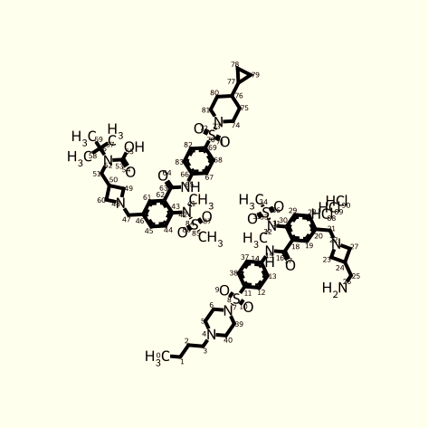 CCCCN1CCN(S(=O)(=O)c2ccc(NC(=O)c3cc(CN4CC(CN)C4)ccc3N(C)S(C)(=O)=O)cc2)CC1.CN(c1ccc(CN2CC(CN(C(=O)O)C(C)(C)C)C2)cc1C(=O)Nc1ccc(S(=O)(=O)N2CCC(C3CC3)CC2)cc1)S(C)(=O)=O.Cl.Cl.Cl